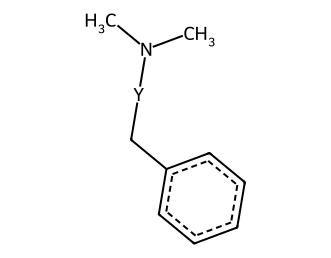 C[N](C)[Y][CH2]c1ccccc1